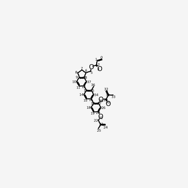 C=CC(=O)OCC1CCc2ccc(-c3ccc(-c4ccc(OCC(=C)C)cc4OC(=O)C(=C)C)cc3C)cc21